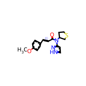 COc1ccc(/C=C/C(=O)N(c2cc[nH]n2)C2CCSC2)cc1